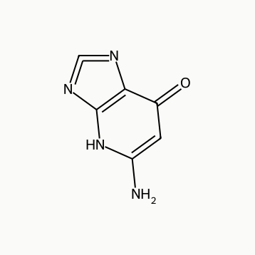 Nc1cc(=O)c2c([nH]1)N=C=N2